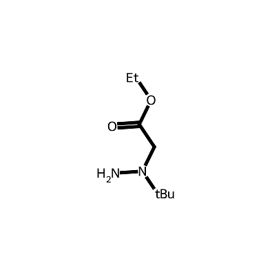 CCOC(=O)CN(N)C(C)(C)C